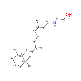 CC1=C(CCC(C)CCCC(C)C/C=N/CCO)C(C)(C)CCC1